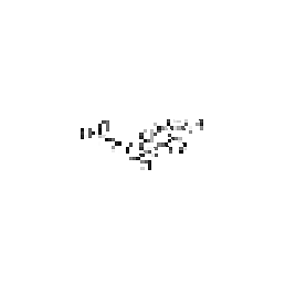 CC(C)=C(C(=O)O)c1ccccc1COc1c(Cl)cc(OCC2CC2(Cl)Cl)cc1Cl